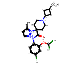 CC(C)c1ccnn1C1(C(=O)Nc2ccc(Cl)cc2OC(F)F)CCN(C2CC(C(=O)O)C2)CC1